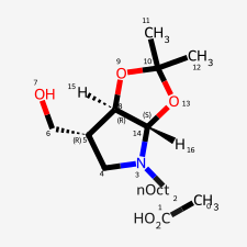 CC(=O)O.CCCCCCCCN1C[C@H](CO)[C@H]2OC(C)(C)O[C@@H]21